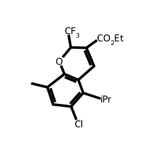 CCOC(=O)C1=Cc2c(c(C)cc(Cl)c2C(C)C)OC1C(F)(F)F